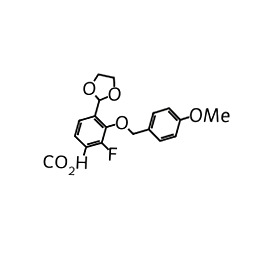 COc1ccc(COc2c(C3OCCO3)ccc(C(=O)O)c2F)cc1